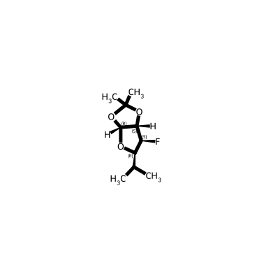 CC(C)[C@H]1O[C@@H]2OC(C)(C)O[C@@H]2[C@H]1F